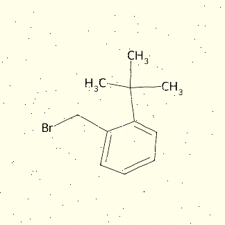 CC(C)(C)c1ccccc1CBr